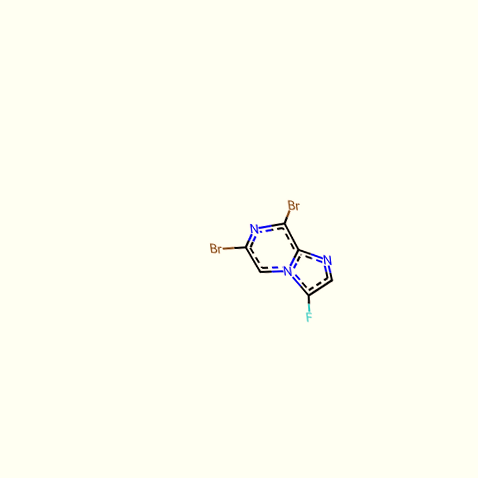 Fc1cnc2c(Br)nc(Br)cn12